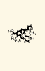 Cc1c(C(=O)O)cc2cc(-c3ccnn3C)cn2c1C(C)N1CCNCC1